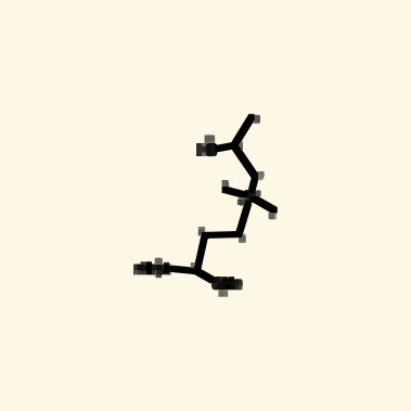 CCCCCCCC(CC[N+](C)(C)CC(C)O)OC